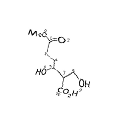 COC(=O)CCC(O)C(CO)C(=O)O